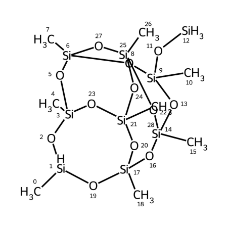 C[SiH]1O[Si]2(C)O[Si]3(C)O[Si](C)(O[SiH3])O[Si]4(C)O[Si](C)(O1)O[Si](C)(O2)O[Si](C)(O3)O4